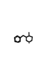 CC1CC[CH]CC1Cc1ccccc1